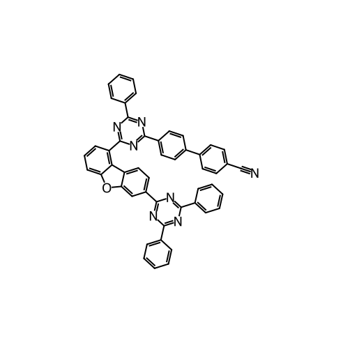 N#Cc1ccc(-c2ccc(-c3nc(-c4ccccc4)nc(-c4cccc5oc6cc(-c7nc(-c8ccccc8)nc(-c8ccccc8)n7)ccc6c45)n3)cc2)cc1